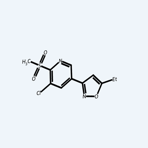 CCc1cc(-c2cnc(S(C)(=O)=O)c(Cl)c2)no1